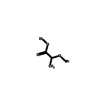 CCOC(=O)C(C)OC(C)C